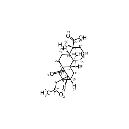 C[S+]([O-])C[C@@H]1C(=O)[C@]23CC[C@H]1C[C@H]2[C@]1(C)CCC[C@@](C)(C(=O)O)[C@H]1CC3